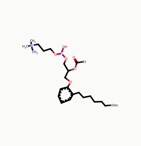 CCCCCCCCCCCCCCCCc1ccccc1OCC(COP(O)OCCC[N+](C)(C)C)OC(=O)CC